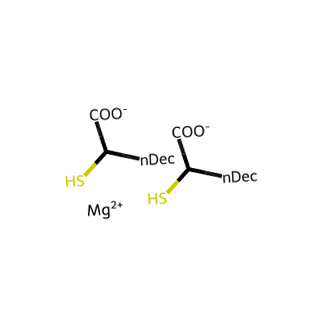 CCCCCCCCCCC(S)C(=O)[O-].CCCCCCCCCCC(S)C(=O)[O-].[Mg+2]